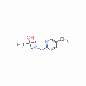 Cc1ccc(CN2CC(C)(O)C2)nc1